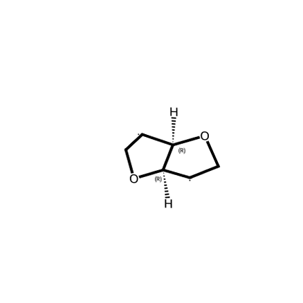 [CH]1CO[C@@H]2[CH]CO[C@H]12